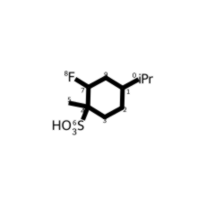 CC(C)C1CCC(C)(S(=O)(=O)O)C(F)C1